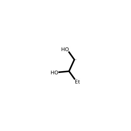 [CH2]CC(O)[CH]O